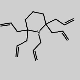 C=CCN1C(CC=C)(CC=C)CCCC1(CC=C)CC=C